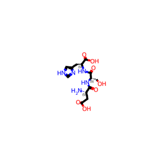 N[C@@H](CC(=O)O)C(=O)N[C@@H](CO)C(=O)N[C@@H](Cc1c[nH]cn1)C(=O)O